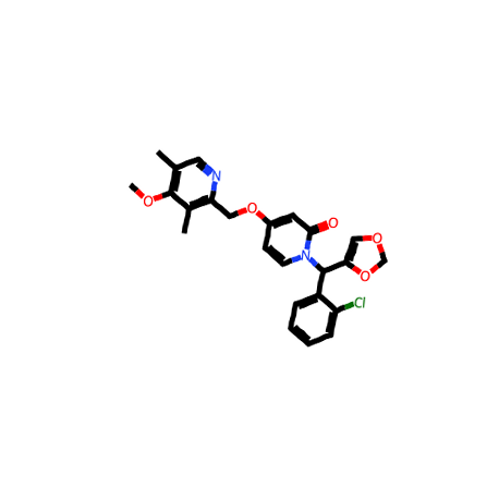 COc1c(C)cnc(COc2ccn(C(C3=COCO3)c3ccccc3Cl)c(=O)c2)c1C